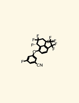 N#Cc1cc(F)cc(Oc2ccc3c4c2[C@H](F)C(F)(F)C[C@]4(O)C(F)(F)C3(F)F)c1